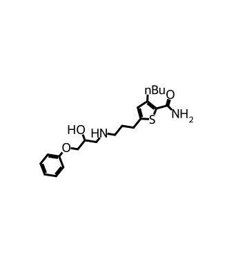 CCCCc1cc(CCCNCC(O)COc2ccccc2)sc1C(N)=O